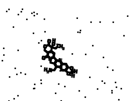 [2H]C1([2H])Oc2cc3nc4c(c(CN)c3cc2O1)Cn1c-4cc2c(c1=O)COC(=O)[C@]2(O)CC